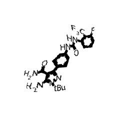 CC(C)(C)n1nc(-c2ccc(NC(=O)Nc3cccc(F)c3C(F)(F)F)cc2)c(C(N)=O)c1N